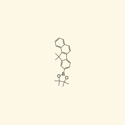 CC1(C)c2cc(B3OC(C)(C)C(C)(C)O3)ccc2-c2ccc3ccccc3c21